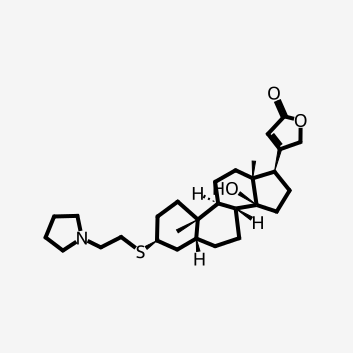 C[C@]12CC[C@H](SCCN3CCCC3)C[C@H]1CC[C@@H]1[C@@H]2CC[C@]2(C)[C@@H](C3=CC(=O)OC3)CC[C@]12O